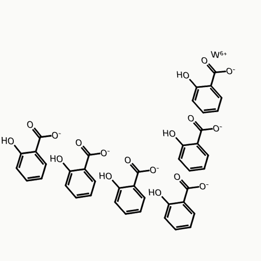 O=C([O-])c1ccccc1O.O=C([O-])c1ccccc1O.O=C([O-])c1ccccc1O.O=C([O-])c1ccccc1O.O=C([O-])c1ccccc1O.O=C([O-])c1ccccc1O.[W+6]